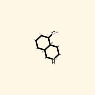 OC1CCCC2CNCCC12